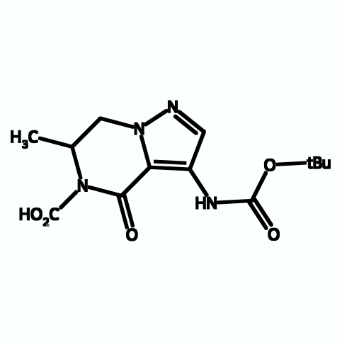 CC1Cn2ncc(NC(=O)OC(C)(C)C)c2C(=O)N1C(=O)O